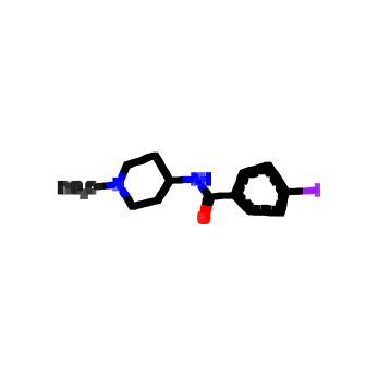 CCOC(=O)N1CCC(NC(=O)c2ccc(I)cc2)CC1